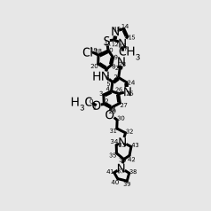 COc1cc2c(Nc3ccc(Sc4nccn4C)c(Cl)c3)c(C#N)cnc2cc1OCCCN1CCC(N2CCCC2)CC1